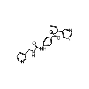 C=CC(c1cncnc1)S(=O)(=O)c1ccc(NC(=O)NCc2cccnc2)cc1